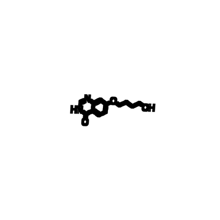 O=c1[nH]cnc2cc(OCCCCO)ccc12